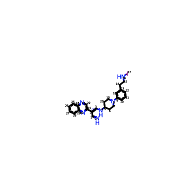 N=C/C(=C\NC1CCN(c2cccc(CCNI)c2)CC1)c1cnc2ccccc2n1